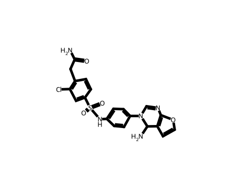 NC(=O)Cc1ccc(S(=O)(=O)Nc2ccc(N3C=Nc4occc4C3N)cc2)cc1Cl